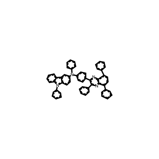 c1ccc(-c2nc3c(-c4ccccc4)ccc(-c4ccccc4)c3nc2-c2ccc(N(c3ccccc3)c3ccc4c(c3)c3ccccc3n4-c3ccccc3)cc2)cc1